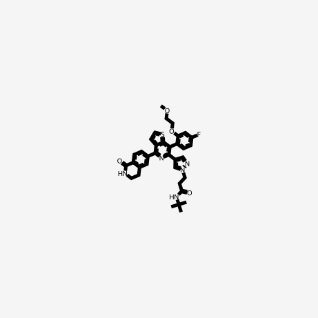 COCCOc1cc(F)ccc1-c1c(-c2cnn(CCC(=O)NC(C)(C)C)c2)nc(-c2ccc3c(c2)CCNC3=O)c2ccsc12